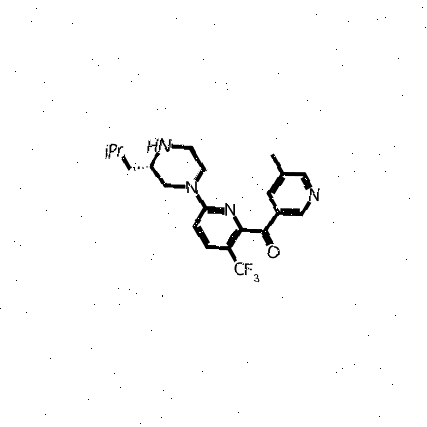 Cc1cncc(C(=O)c2nc(N3CCN[C@@H](CC(C)C)C3)ccc2C(F)(F)F)c1